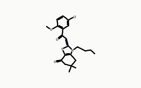 CCCCN1C2=C(S/C1=C\C(=O)c1cc(Cl)ccc1OC)C(=O)CC(C)(C)C2